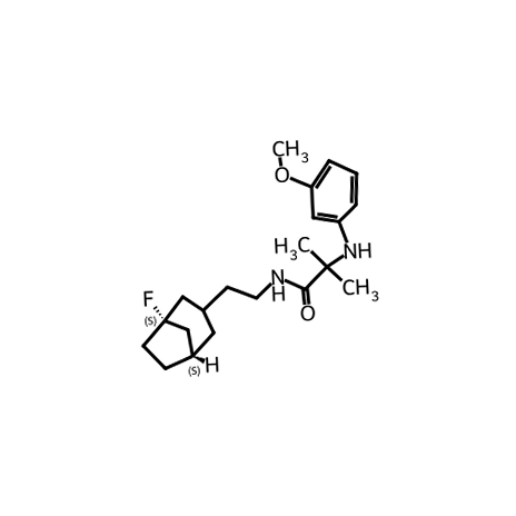 COc1cccc(NC(C)(C)C(=O)NCCC2C[C@@H]3CC[C@@](F)(C2)C3)c1